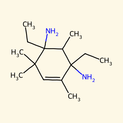 CCC1(N)C(C)=CC(C)(C)C(N)(CC)C1C